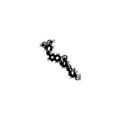 CO[C@H]1CCN(Cc2ccc3c(c2)CCC(n2ccc(OCc4ccc(Cl)cn4)cc2=O)=C3)C[C@H]1OC